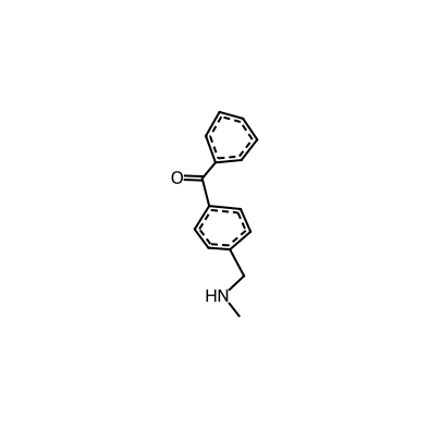 CNCc1ccc(C(=O)c2ccccc2)cc1